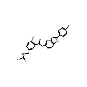 CC(C)C(=O)NCc1ccc(Cl)c(C(=O)Nc2cnc3[nH]c(-c4ccc(F)cc4)cc3c2)c1